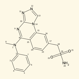 CN(c1ccccc1)c1nc2nncn2c2cc(CS(N)(=O)=O)ccc12